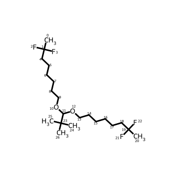 CC(F)(F)CCCCCCOC(OCCCCCCC(C)(F)F)C(C)(C)C